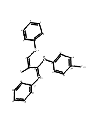 CC(=CSc1ccccc1)C(=Nc1ccccc1)Oc1ccc(F)cc1